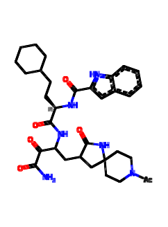 CC(=O)N1CCC2(CC1)CC(CC(NC(=O)[C@@H](CCC1CCCCC1)NC(=O)c1cc3ccccc3[nH]1)C(=O)C(N)=O)C(=O)N2